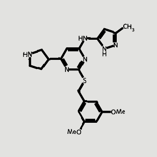 COc1cc(CSc2nc(Nc3cc(C)n[nH]3)cc(C3CCNC3)n2)cc(OC)c1